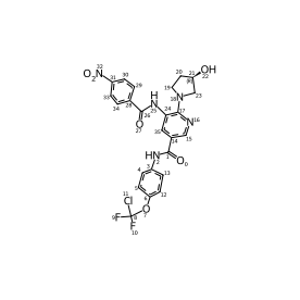 O=C(Nc1ccc(OC(F)(F)Cl)cc1)c1cnc(N2CC[C@@H](O)C2)c(NC(=O)c2ccc([N+](=O)[O-])cc2)c1